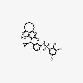 O=C1CCCCCc2oc(=O)c(C(c3cccc(NS(=O)(=O)c4cc(Cl)cc(Cl)c4O)c3)C3CC3)c(O)c21